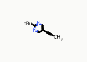 CC#Cc1cnc(C(C)(C)C)nc1